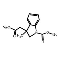 COC(=O)CC1(C)CN(C(=O)OC(C)(C)C)c2ccccc21